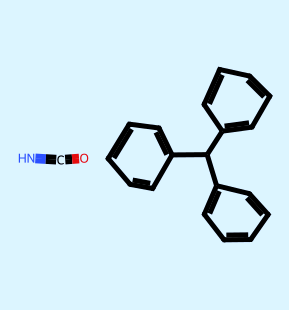 N=C=O.c1ccc(C(c2ccccc2)c2ccccc2)cc1